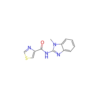 Cn1c(NC(=O)c2cscn2)nc2ccccc21